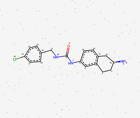 N[C@H]1CCc2cc(NC(=O)NCc3ccc(Cl)cc3)ccc2C1